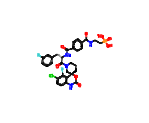 O=C1Nc2ccc(Cl)c(F)c2[C@@]2(CCCN(C(=O)[C@H](Cc3cccc(F)c3)NC(=O)c3ccc(C(=O)NCCP(=O)(O)O)cc3)C2)O1